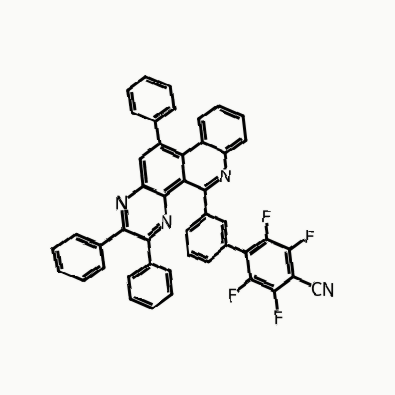 N#Cc1c(F)c(F)c(-c2cccc(-c3nc4ccccc4c4c(-c5ccccc5)cc5nc(-c6ccccc6)c(-c6ccccc6)nc5c34)c2)c(F)c1F